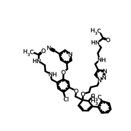 CC(=O)NCCNCc1cn(CCCOC2(COc3cc(OCc4cncc(C#N)c4)c(CNCCNC(C)=O)cc3Cl)C=CC=C(c3ccccc3C)C2C)nn1